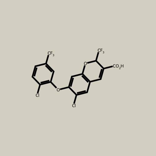 O=C(O)C1=Cc2cc(Cl)c(Oc3cc(C(F)(F)F)ccc3Cl)cc2OC1C(F)(F)F